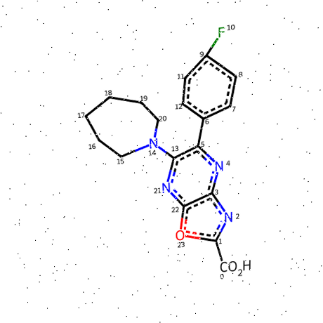 O=C(O)c1nc2nc(-c3ccc(F)cc3)c(N3CCCCCC3)nc2o1